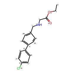 CCOC(=O)CNCc1ccc(-c2ccc(Cl)cc2)cc1